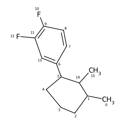 CC1CCC[C](c2ccc(F)c(F)c2)C1C